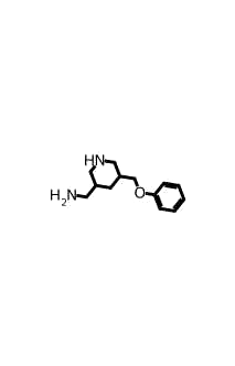 NCC1CNCC(COc2ccccc2)C1